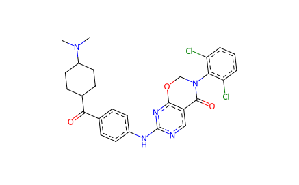 CN(C)C1CCC(C(=O)c2ccc(Nc3ncc4c(n3)OCN(c3c(Cl)cccc3Cl)C4=O)cc2)CC1